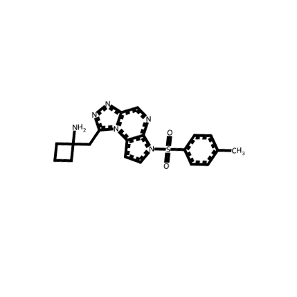 Cc1ccc(S(=O)(=O)n2ccc3c2ncc2nnc(CC4(N)CCC4)n23)cc1